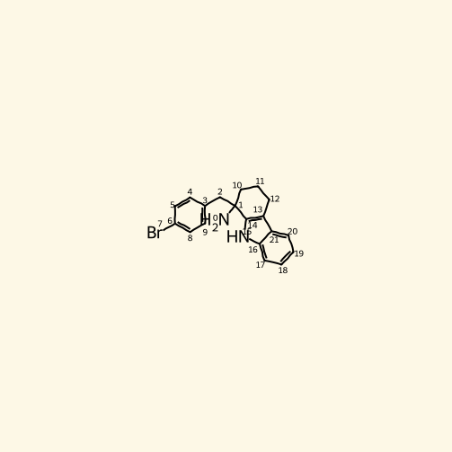 NC1(Cc2ccc(Br)cc2)CCCc2c1[nH]c1ccccc21